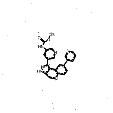 CC(C)(C)OC(=O)Nc1cncc(-c2n[nH]c3cnc4ccc(-c5cccnc5)cc4c23)c1